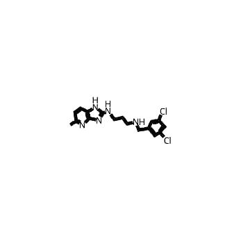 Cc1ccc2[nH]c(NCCCNCc3cc(Cl)cc(Cl)c3)nc2n1